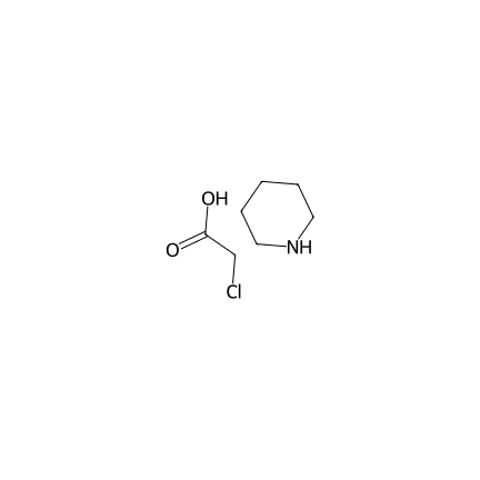 C1CCNCC1.O=C(O)CCl